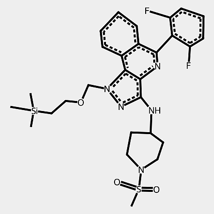 C[Si](C)(C)CCOCn1nc(NC2CCN(S(C)(=O)=O)CC2)c2nc(-c3c(F)cccc3F)c3ccccc3c21